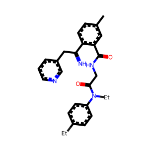 CCc1ccc(N(CC)C(=O)CNC(=O)c2cc(C)ccc2C(=N)Cc2cccnc2)cc1